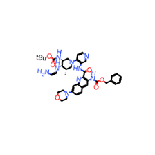 C[C@H]1CN(c2ccncc2NC(=O)c2nc3cc(N4CCOCC4)ccc3cc2NC(=O)OCc2ccccc2)C[C@@H](NC(=O)OC(C)(C)C)[C@H]1N/C=C\N